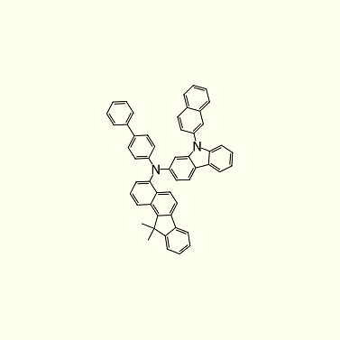 CC1(C)c2ccccc2-c2ccc3c(N(c4ccc(-c5ccccc5)cc4)c4ccc5c6ccccc6n(-c6ccc7ccccc7c6)c5c4)cccc3c21